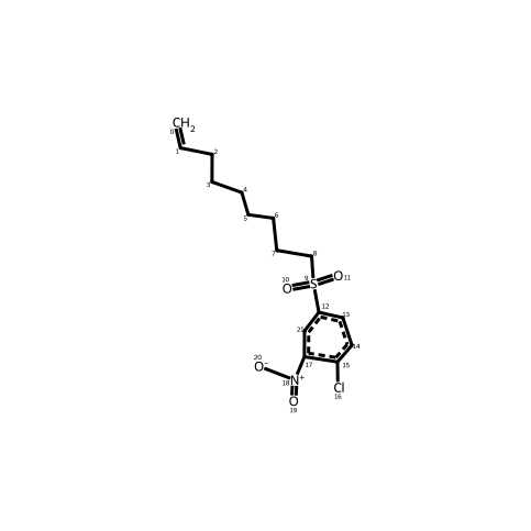 C=CCCCCCCCS(=O)(=O)c1ccc(Cl)c([N+](=O)[O-])c1